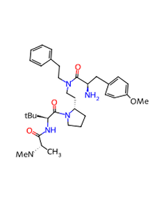 CN[C@@H](C)C(=O)N[C@H](C(=O)N1CCC[C@H]1CCN(CCc1ccccc1)C(=O)[C@H](N)Cc1ccc(OC)cc1)C(C)(C)C